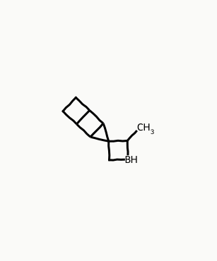 CC1BCC12C1C3CCC3C12